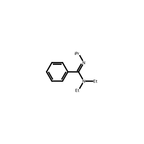 CCN(CC)/C(=N/C(C)C)c1ccccc1